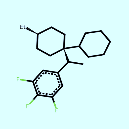 CC[C@H]1CC[C@@](C2CCCCC2)(C(C)c2cc(F)c(F)c(F)c2)CC1